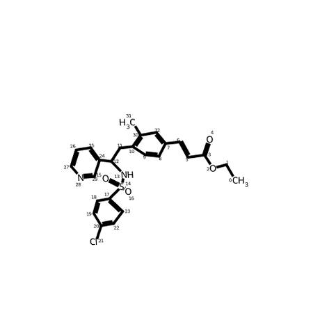 CCOC(=O)C=Cc1ccc(CC(NS(=O)(=O)c2ccc(Cl)cc2)c2cccnc2)c(C)c1